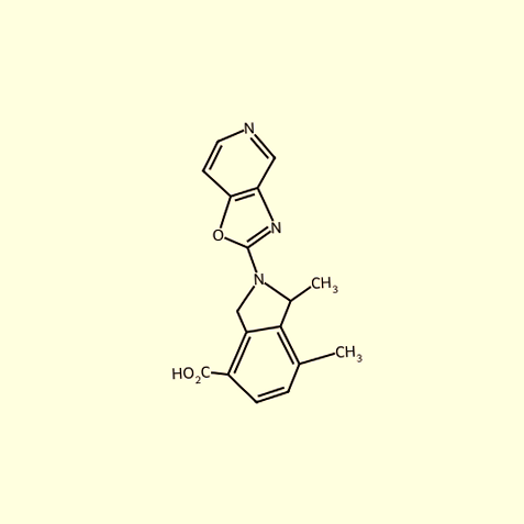 Cc1ccc(C(=O)O)c2c1C(C)N(c1nc3cnccc3o1)C2